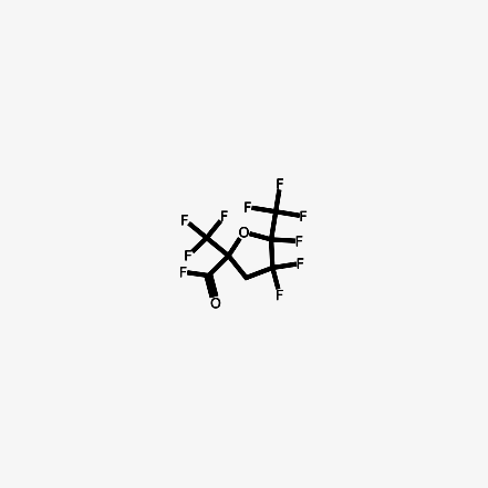 O=C(F)C1(C(F)(F)F)CC(F)(F)C(F)(C(F)(F)F)O1